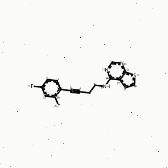 Fc1ccc(C#CCCNc2ncnc3sccc23)c(F)c1